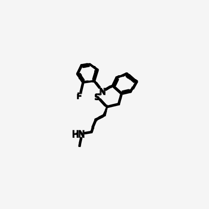 CNCCC[C@@H]1Cc2ccccc2N(c2ccccc2F)S1